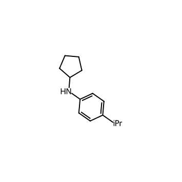 CC(C)c1ccc(NC2CCCC2)cc1